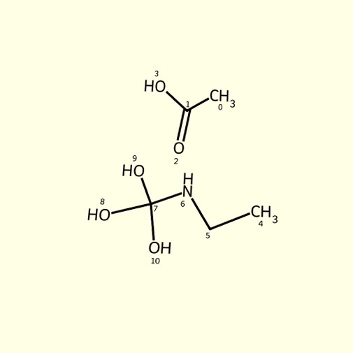 CC(=O)O.CCNC(O)(O)O